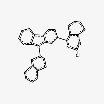 Clc1nc(-c2ccc3c4ccccc4n(-c4ccc5ccccc5c4)c3c2)c2ccccc2n1